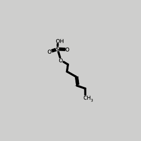 CC/[C]=C/CCOS(=O)(=O)O